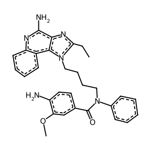 CCc1nc2c(N)nc3ccccc3c2n1CCCCN(C(=O)c1ccc(N)c(OC)c1)c1ccccc1